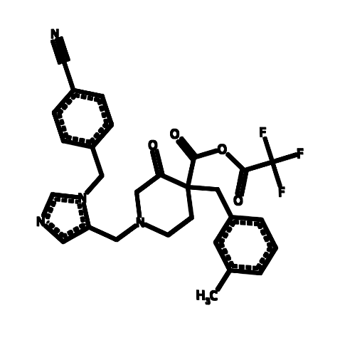 Cc1cccc(CC2(C(=O)OC(=O)C(F)(F)F)CCN(Cc3cncn3Cc3ccc(C#N)cc3)CC2=O)c1